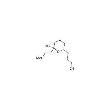 COCCC1(O)CCCC(CCCC#N)O1